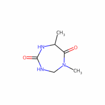 CC1NC(=O)NCN(C)C1=O